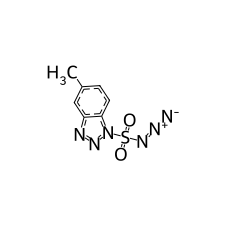 Cc1ccc2c(c1)nnn2S(=O)(=O)N=[N+]=[N-]